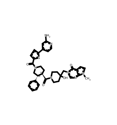 Cn1ccc2c(=O)n(CC3(O)CCN(C(=O)[C@@H]4CCN(C(=O)c5ccc(-c6ccnc(N)c6)s5)C[C@H]4c4ccccc4)CC3)cnc21